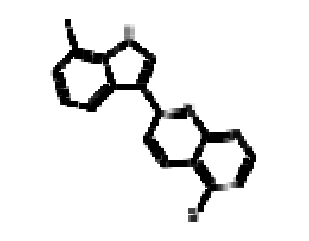 Cc1cccc2c(-c3ccc4c(Cl)cccc4n3)c[nH]c12